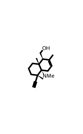 C#C[C@]1(C)CCC[C@]2(C)[C@@H](CO)C(C)=CC[C@@]12NC